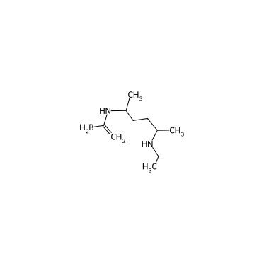 BC(=C)NC(C)CCC(C)NCC